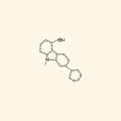 Cn1c2cc(-c3ccccc3)ccc2c2c(C(C)(C)C)cccc21